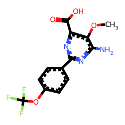 COc1c(N)nc(-c2ccc(OC(F)(F)F)cc2)nc1C(=O)O